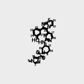 Cn1cnc(S(=O)(=O)N2CCC[C@@H](Nc3nccc(-c4c(-c5cccc(O)c5)nc5sccn45)n3)C2)c1